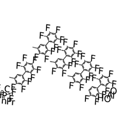 CCCPC(F)(F)C(F)(F)F.Cc1cc(-c2c(F)c(F)c(F)c(F)c2F)c(F)c(F)c1F.Cc1cc(-c2c(F)c(F)c(F)c(F)c2F)c(F)c(F)c1F.Cc1cc(-c2c(F)c(F)c(F)c(F)c2F)c(F)c(F)c1F.Cc1cc(-c2c(F)c(F)c(F)c(F)c2F)c(F)c(F)c1F.Fc1ccc(-c2c(F)c(F)c(F)c(F)c2F)c(F)c1F.[O]=[Al][OH]